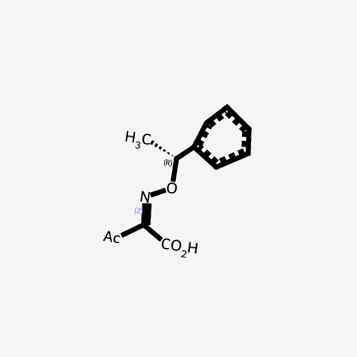 CC(=O)/C(=N/O[C@H](C)c1ccccc1)C(=O)O